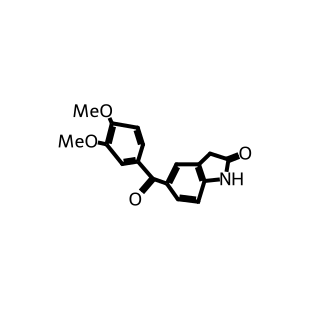 COc1ccc(C(=O)c2ccc3c(c2)CC(=O)N3)cc1OC